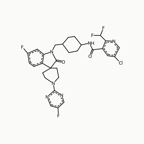 O=C(NC1CCC(CN2C(=O)C3(CCN(c4ncc(F)cn4)CC3)c3ccc(F)cc32)CC1)c1cc(Cl)cnc1C(F)F